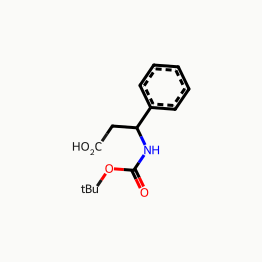 CC(C)(C)OC(=O)NC(CC(=O)O)c1ccccc1